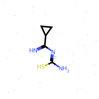 N=C(/N=C(/N)S)C1CC1